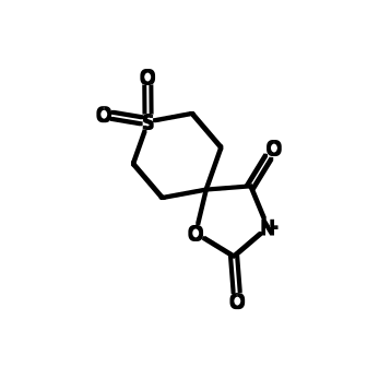 O=C1[N]C(=O)C2(CCS(=O)(=O)CC2)O1